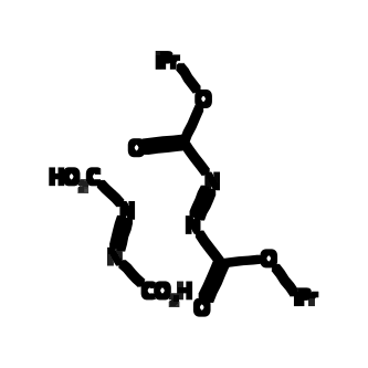 CC(C)OC(=O)N=NC(=O)OC(C)C.O=C(O)N=NC(=O)O